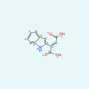 O=C(O)/C=C(/C(=O)O)c1cc2ccccc2[nH]1